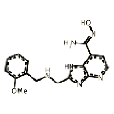 COc1ccccc1CNCc1nc2nccc(/C(N)=N/O)c2[nH]1